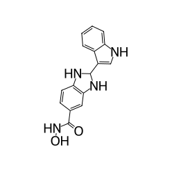 O=C(NO)c1ccc2c(c1)NC(c1c[nH]c3ccccc13)N2